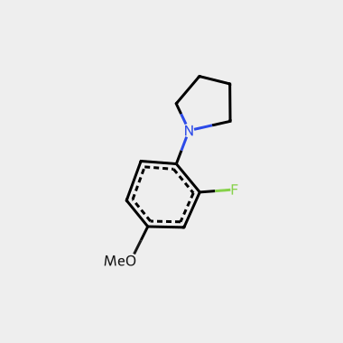 COc1ccc(N2CCCC2)c(F)c1